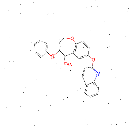 OC1c2cc(Oc3ccc4ccccc4n3)ccc2OCCC1Oc1ccccc1